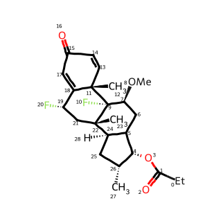 CCC(=O)O[C@H]1C2C[C@H](OC)[C@]3(F)[C@@]4(C)C=CC(=O)C=C4[C@@H](F)C[C@@]3(C)[C@@H]2C[C@H]1C